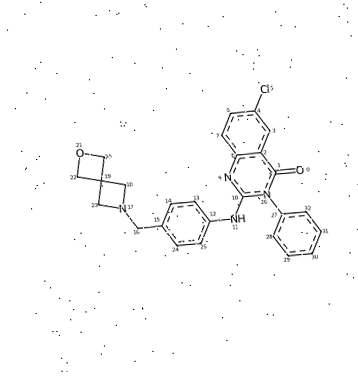 O=c1c2cc(Cl)ccc2nc(Nc2ccc(CN3CC4(COC4)C3)cc2)n1-c1ccccc1